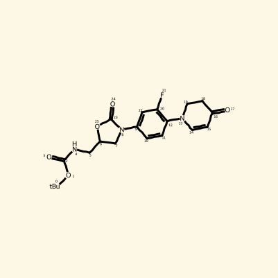 CC(C)(C)OC(=O)NCC1CN(c2ccc(N3C=CC(=O)CC3)c(F)c2)C(=O)O1